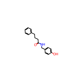 O=C(CCCc1ccccc1)NCc1ccc(O)cc1